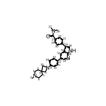 CN1CCC2(CC1)CN(c1ccc(-c3cnc4[nH]cc(-c5ccc(C(=O)N(C)C)cc5)c4c3)cc1)C2